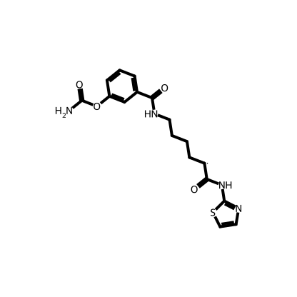 NC(=O)Oc1cccc(C(=O)NCCCC[CH]C(=O)Nc2nccs2)c1